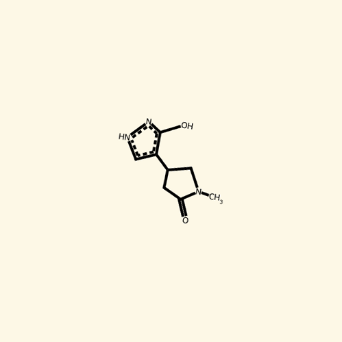 CN1CC(c2c[nH]nc2O)CC1=O